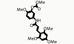 COC(=O)Oc1cc(NC(=O)/C=C/c2c(OC)cc(OC)cc2OC)ccc1OC